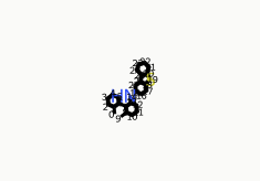 Cc1ccccc1-c1c(C)cccc1Nc1ccc2sc3ccccc3c2c1